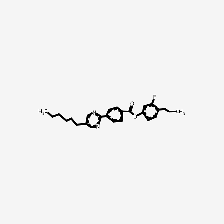 CCCCCCc1cnc(-c2ccc(C(=O)Oc3ccc(CCC)c(F)c3)cc2)nc1